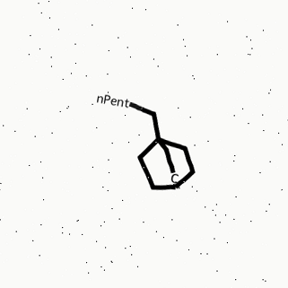 CCCCCCC12CC[C](CC1)CC2